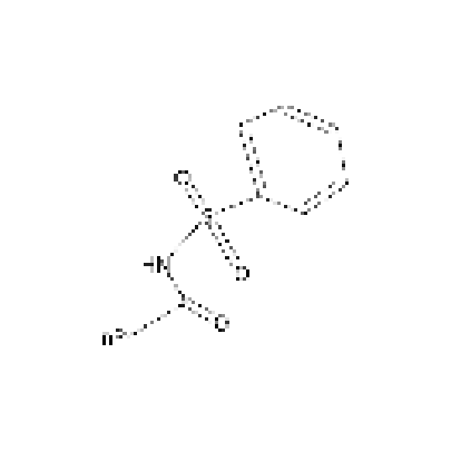 [CH2]CCC(=O)NS(=O)(=O)c1ccccc1